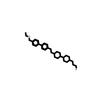 CCOCc1ccc(-c2ccc(CCC3CCC(C4CCC(CCCF)CC4)CC3)cc2)cc1